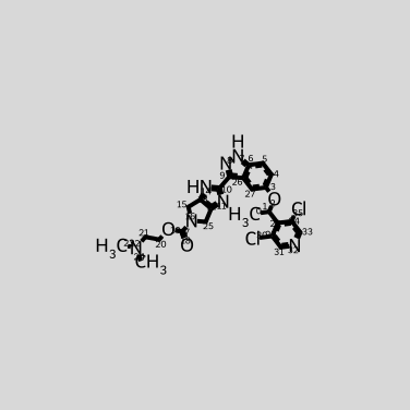 CC(Oc1ccc2[nH]nc(-c3nc4c([nH]3)CN(C(=O)OCCN(C)C)C4)c2c1)c1c(Cl)cncc1Cl